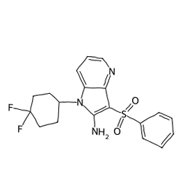 Nc1c(S(=O)(=O)c2ccccc2)c2ncccc2n1C1CCC(F)(F)CC1